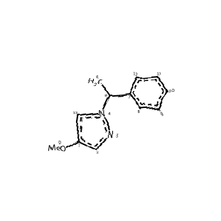 COc1cnn(C(C)c2ccccc2)c1